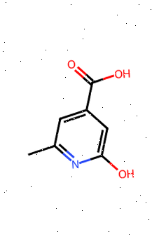 Cc1cc(C(=O)O)cc(O)n1